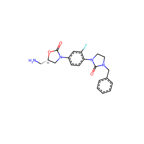 NC[C@H]1CN(c2ccc(N3CCN(Cc4ccccc4)C3=O)c(F)c2)C(=O)O1